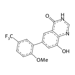 COc1ccc(C(F)(F)F)cc1-c1cc(O)c2nc[nH]c(=O)c2c1